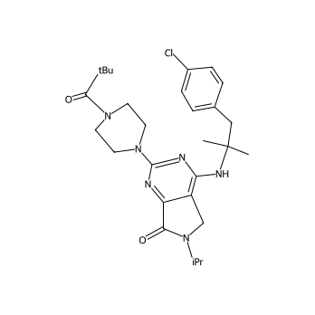 CC(C)N1Cc2c(NC(C)(C)Cc3ccc(Cl)cc3)nc(N3CCN(C(=O)C(C)(C)C)CC3)nc2C1=O